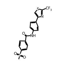 CS(=O)(=O)c1ccc(C(=O)Nc2ccc(-c3csc(C(F)(F)F)n3)cc2)cc1